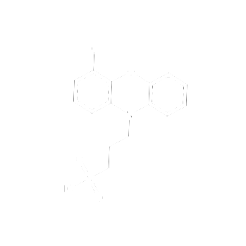 O=S(=O)(O)CCCN1c2ccccc2Oc2c(Cl)cccc21